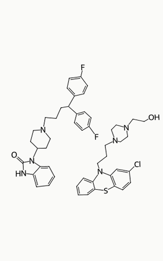 O=c1[nH]c2ccccc2n1C1CCN(CCCC(c2ccc(F)cc2)c2ccc(F)cc2)CC1.OCCN1CCN(CCCN2c3ccccc3Sc3ccc(Cl)cc32)CC1